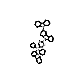 c1ccc(S(c2ccccc2)(c2cnc(-n3c4ccccc4c4cc(-n5c6ccccc6c6ccccc65)ccc43)nc2)c2cccc3c2oc2ccccc23)cc1